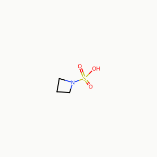 O=S(=O)(O)N1CCC1